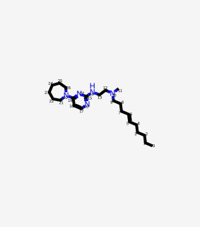 CCCCCC=CCCCN(C)CCNc1nccc(N2CCCCCC2)n1